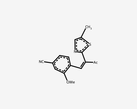 COc1cc(C#N)ccc1C=C(C(C)=O)c1ncc(C)s1